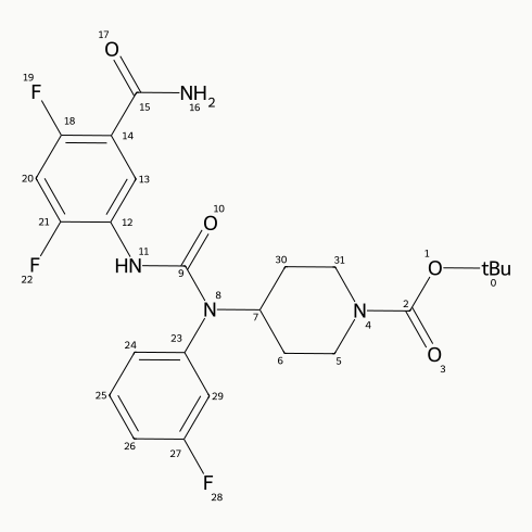 CC(C)(C)OC(=O)N1CCC(N(C(=O)Nc2cc(C(N)=O)c(F)cc2F)c2cccc(F)c2)CC1